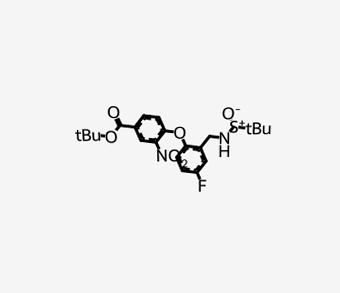 CC(C)(C)OC(=O)c1ccc(Oc2ccc(F)cc2CN[S+]([O-])C(C)(C)C)c([N+](=O)[O-])c1